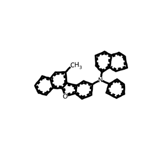 Cc1cc2ccccc2c2oc3ccc(N(c4ccccc4)c4cccc5ccccc45)cc3c12